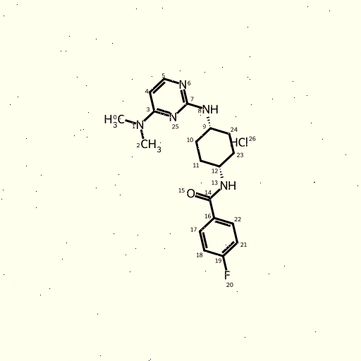 CN(C)c1ccnc(N[C@H]2CC[C@@H](NC(=O)c3ccc(F)cc3)CC2)n1.Cl